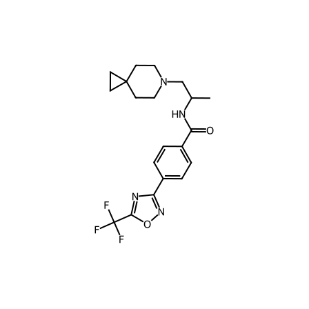 CC(CN1CCC2(CC1)CC2)NC(=O)c1ccc(-c2noc(C(F)(F)F)n2)cc1